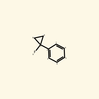 FC1(c2c[c]ccc2)CC1